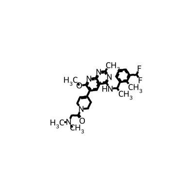 COc1nc2nc(C)nc(NC(C)c3cccc(C(F)F)c3C)c2cc1C1=CCN(C(=O)CN(C)C)CC1